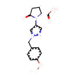 COc1ccc(Cn2cc(N3C(=O)CC[C@@H]3C(=O)O)cn2)cc1